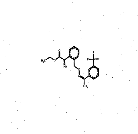 CCOC(=O)C(=N)c1ccccc1CON=C(C)c1cccc(C(F)(F)F)c1